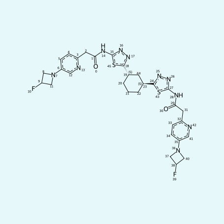 O=C(Cc1ccc(N2CC(F)C2)cn1)Nc1nnc([C@H]2CCC[C@H](c3nnc(NC(=O)Cc4ccc(N5CC(F)C5)cn4)s3)C2)s1